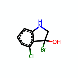 OC1(Br)CNc2cccc(Cl)c21